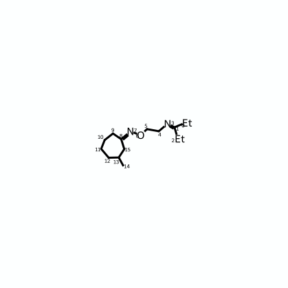 CCC(CC)=NCCON=C1CCCCC(C)C1